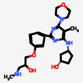 CNCC(O)COc1cccc(-c2nc(N[C@@H]3CC[C@H](O)C3)c(C)c(N3CCOCC3)n2)c1